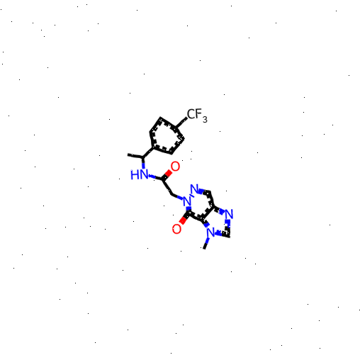 CC(NC(=O)Cn1ncc2ncn(C)c2c1=O)c1ccc(C(F)(F)F)cc1